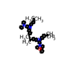 CC(C)c1ccc2cc3c(cc2c1)c1cc(N(c2ccccc2)c2ccccc2)cc2c4cc5cc(C(C)CCC(C)c6ccc7cc8c(cc7c6)c6cc(N(c7ccccc7)c7cccc9c7oc7ccccc79)cc7c9cc%10cc(C(C)C)ccc%10cc9n8c76)ccc5cc4n3c12